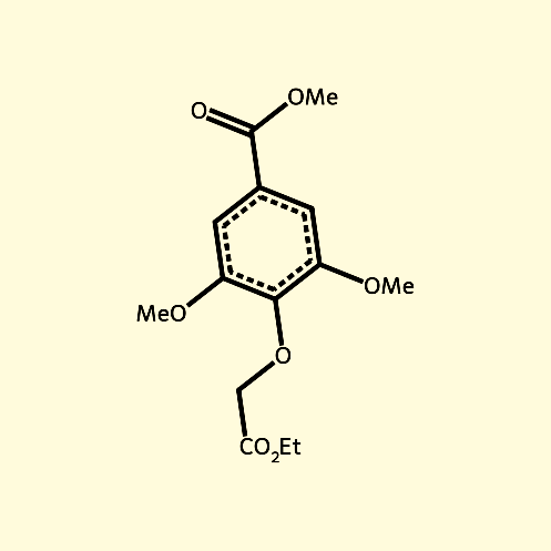 CCOC(=O)COc1c(OC)cc(C(=O)OC)cc1OC